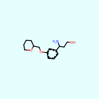 NC(CCO)c1cccc(OCC2CCCCO2)c1